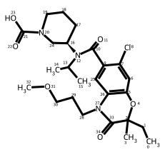 CCC1(C)Oc2cc(Cl)c(C(=O)N(C(C)C)[C@@H]3CCCN(C(=O)O)C3)cc2N(CCCOC)C1=O